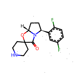 O=C1N2[C@@H](CC[C@H]2c2cc(F)ccc2F)OC12CCNCC2